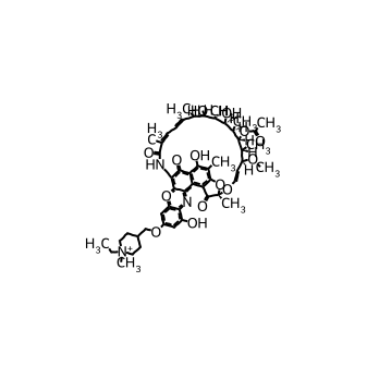 CC[N+]1(C)CCC(COc2cc(O)c3nc4c5c6c7c(C)c(O)c5c(=O)c(c-4oc3c2)NC(=O)/C(C)=C\C=C\[C@H](C)[C@H](O)[C@@H](C)[C@@H](O)[C@@H](C)[C@H](OC(C)=O)[C@H](C)[C@@H](OC)/C=C/O[C@@](C)(O7)C6=O)CC1